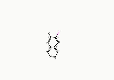 Cc1cc2ccccc2cc1I